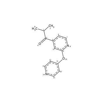 CC(C)C(=O)c1ccnc(Oc2ccncc2)c1